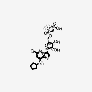 O=P(O)(O)CP(=O)(O)OC[C@H]1O[C@@H](c2cnc3c(NC4CCCC4)cc(Cl)nn23)[C@H](O)[C@@H]1O